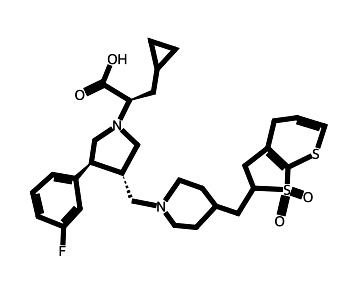 O=C(O)[C@@H](CC1CC1)N1C[C@H](CN2CCC(CC3CC4=C(SC=CC4)S3(=O)=O)CC2)[C@@H](c2cccc(F)c2)C1